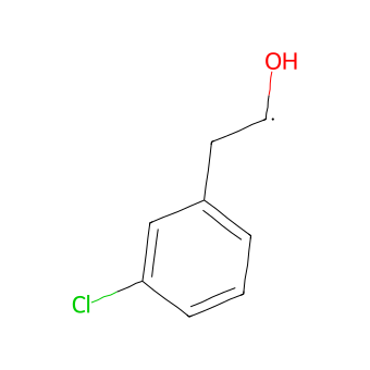 O[CH]Cc1cccc(Cl)c1